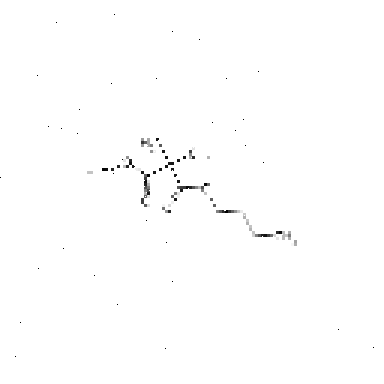 CCCCOC(=O)C(C)(N)C(=O)OC